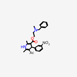 CC(=O)C1=C(C)NC(C)=C(C(=O)OCCN(C)Cc2ccccc2)C1c1cccc([N+](=O)[O-])c1